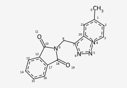 Cc1ccn2nnc(CN3C(=O)c4ccccc4C3=O)c2c1